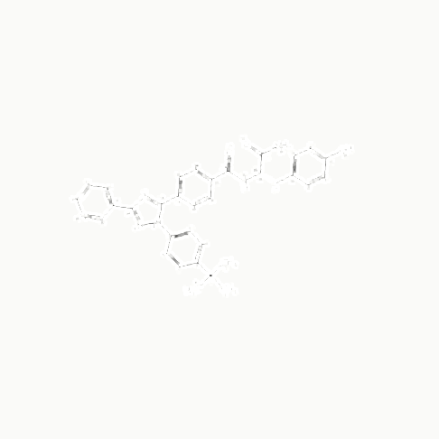 CC(C)(C)c1ccc(-n2nc(-c3cccnc3)cc2-c2ccc(C(=O)N[C@@H](Cc3ccc(O)cc3)C(N)=O)cc2)cc1